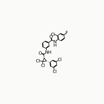 O=C(Nc1ccc(F)cc1Cl)c1cccc(NC(=O)[C@H]2[C@H](c3cc(Cl)cc(Cl)c3)C2(Cl)Cl)c1